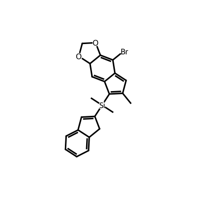 CC1=C([Si](C)(C)C2=Cc3ccccc3C2)C2=CC3OCOC3=C(Br)C2=C1